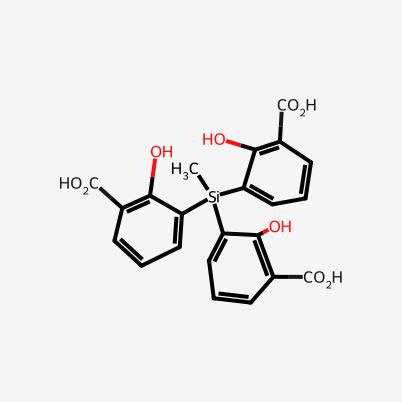 C[Si](c1cccc(C(=O)O)c1O)(c1cccc(C(=O)O)c1O)c1cccc(C(=O)O)c1O